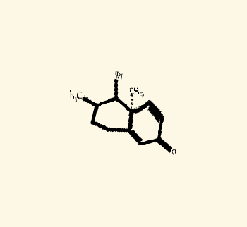 CC(C)C1C(C)CCC2=CC(=O)C=C[C@@]21C